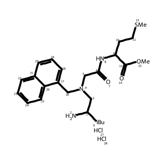 CCC(C)C(N)CN(CC(=O)NC(CCSC)C(=O)OC)Cc1cccc2ccccc12.Cl.Cl